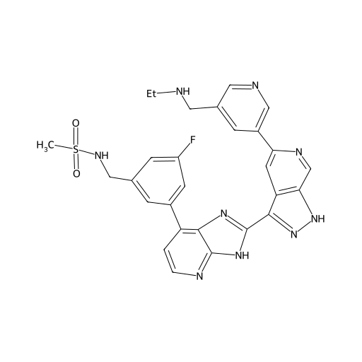 CCNCc1cncc(-c2cc3c(-c4nc5c(-c6cc(F)cc(CNS(C)(=O)=O)c6)ccnc5[nH]4)n[nH]c3cn2)c1